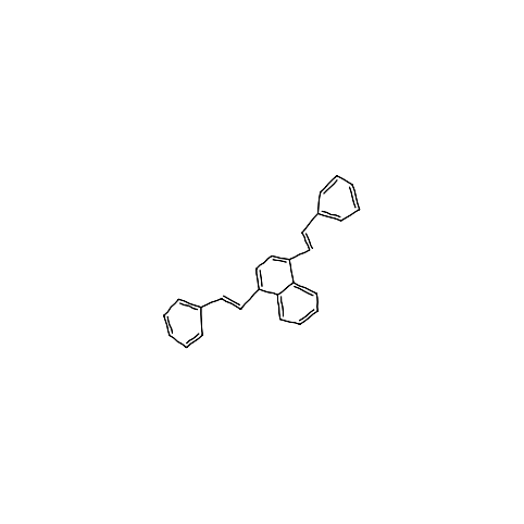 C(=C\c1ccc(/C=C/c2ccccc2)c2ccccc12)/c1ccccc1